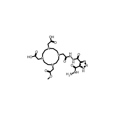 COC(=O)CN1CCN(CC(=O)O)CCN(CC(=O)O)CCN(CC(=O)NNC(=O)c2nn[nH]c2C(=O)NN)CC1